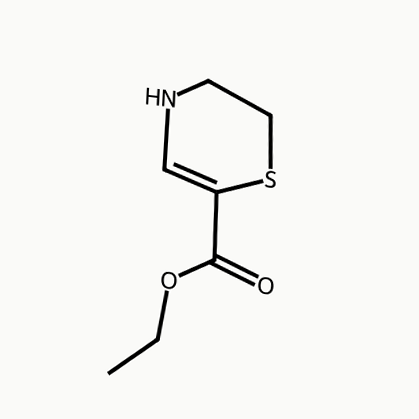 CCOC(=O)C1=CNCCS1